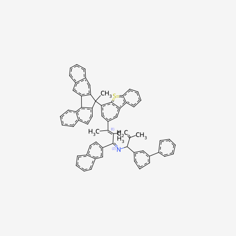 C=C(C)C(/N=C(\C(C)=C(/C)c1cc(C2(C)c3cc4ccccc4cc3-c3c2ccc2ccccc32)c2sc3ccccc3c2c1)c1ccc2ccccc2c1)c1cccc(-c2ccccc2)c1